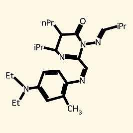 CCCC1C(=O)N(/N=C/C(C)C)C(/C=N\c2ccc(N(CC)CC)cc2C)=NC1C(C)C